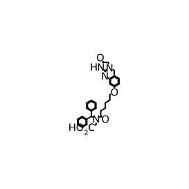 O=C(O)CN(C(=O)CCCCCOc1ccc2c(c1)N=C1NC(=O)CN1C2)C(c1ccccc1)c1ccccc1